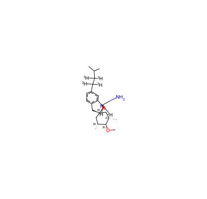 [2H]C1([2H])OC(N)=NC12c1cc(C([2H])([2H])C([2H])([2H])C(C)C)ccc1C[C@@]21C[C@@H](C)[C@H](OC)[C@@H](C)C1